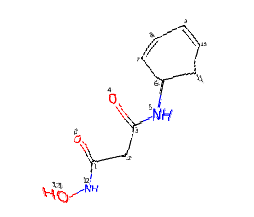 O=C(CC(=O)NC1C=CC=CC1)NO